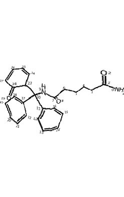 NC(=O)CCCCC(=O)NC(c1ccccc1)(c1ccccc1)C1C=CC=CC1=O